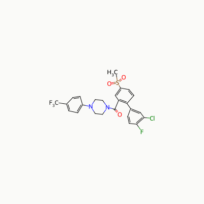 CS(=O)(=O)c1ccc(-c2ccc(F)c(Cl)c2)c(C(=O)N2CCN(c3ccc(C(F)(F)F)cc3)CC2)c1